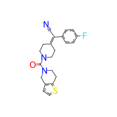 N#CC(=C1CCN(C(=O)N2CCc3sccc3C2)CC1)c1ccc(F)cc1